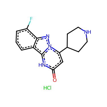 Cl.O=c1cc(C2CCNCC2)n2nc3c(F)cccc3c2[nH]1